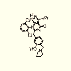 CC(C)c1n[nH]c2c1c(=O)nc(Cc1ccc(CN3CCCC3)c(O)c1)n2-c1c(Cl)cccc1Cl